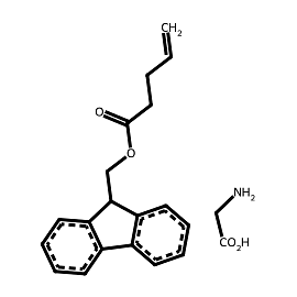 C=CCCC(=O)OCC1c2ccccc2-c2ccccc21.NCC(=O)O